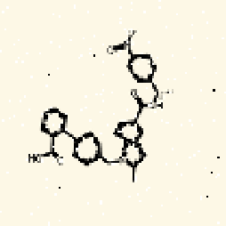 Cc1cc2cc(C(=O)N[C@@H](C)c3ccc([N+](=O)[O-])cc3)ccc2n1Cc1ccc(-c2ccccc2C(=O)O)cc1